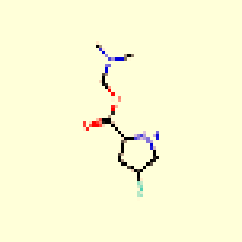 CN(C)COC(=O)C1CC(F)CN1